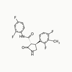 Cc1c(F)ccc([C@H]2CNC(=O)[C@@H]2C(=O)Nc2ccc(F)cc2F)c1F